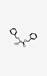 O=C(OCc1ccccc1)N(S)SCc1ccccc1